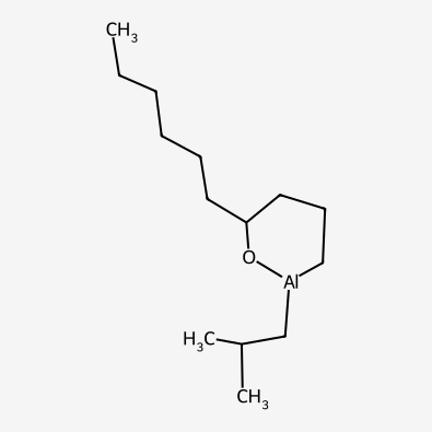 CCCCCCC1CC[CH2][Al]([CH2]C(C)C)[O]1